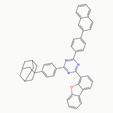 c1ccc2cc(-c3ccc(-c4nc(-c5ccc(C67CC8CC(CC(C8)C6)C7)cc5)nc(-c5cccc6c5oc5ccccc56)n4)cc3)ccc2c1